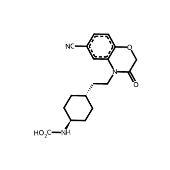 N#Cc1ccc2c(c1)N(CC[C@H]1CC[C@H](NC(=O)O)CC1)C(=O)CO2